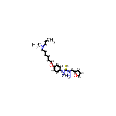 C=CCN(C)CCCCCCOc1ccc(N(C)C(=S)NCC2CCCO2)cc1